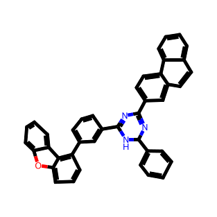 c1ccc(C2N=C(c3ccc4c(ccc5ccccc54)c3)N=C(c3cccc(-c4cccc5oc6ccccc6c45)c3)N2)cc1